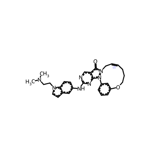 CN(C)CCn1ccc2cc(Nc3ncc4c(=O)n5n(c4n3)-c3cccc(c3)OCCC/C=C\C5)ccc21